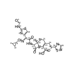 O=CNc1nc(C(=NOC2CC2)C(=O)N[C@@H]2C(=O)N3C(C(=O)O)=C(CSc4ncns4)CS[C@@H]23)cs1